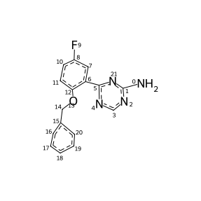 Nc1ncnc(-c2cc(F)ccc2OCc2ccccc2)n1